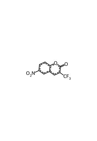 O=c1oc2ccc([N+](=O)[O-])cc2cc1C(F)(F)F